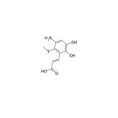 CSc1c(N)cc(O)c(O)c1C=CC(=O)O